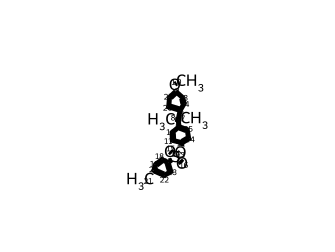 COc1ccc(C(C)(C)c2ccc(OS(=O)(=O)c3ccc(C)cc3)cc2)cc1